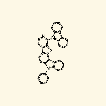 c1ccc(-n2c3ccccc3c3c4sc5c(-n6c7ccccc7c7ccccc76)nccc5c4ccc32)cc1